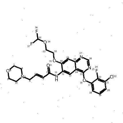 O=C(/C=C/CN1CCOCC1)Nc1cc2c(Oc3cccc(Cl)c3F)ncnc2cc1OCCOC(F)F